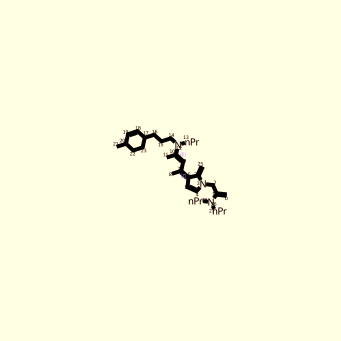 C=C(Cn1cc/c(=C(C)/C=C(\C)N(CCC)CCCC2C=CC(C)CC2)c1=C)N(CCC)CCC